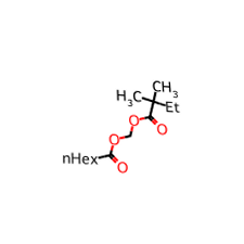 CCCCCCC(=O)OCOC(=O)C(C)(C)CC